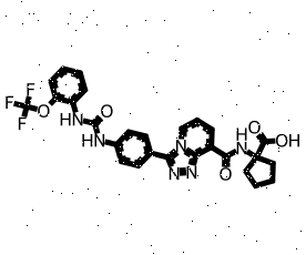 O=C(Nc1ccc(-c2nnc3c(C(=O)NC4(C(=O)O)CCCC4)cccn23)cc1)Nc1ccccc1OC(F)(F)F